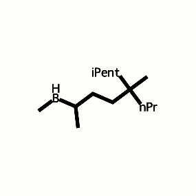 CBC(C)CCC(C)(CCC)C(C)CCC